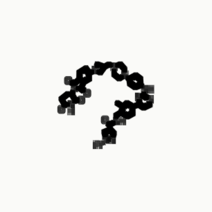 Cc1cc(-c2ccnc(Nc3ccc(N4CCN(CC5CN(c6ccc7c(c6)C(=O)N(C6CCC(=O)NC6=O)C7=O)C5)CC4)cc3)n2)ccc1CNC(=O)c1cnn(C(C)C)c1